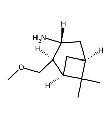 COC[C@H]1[C@H](N)C[C@@H]2C[C@H]1C2(C)C